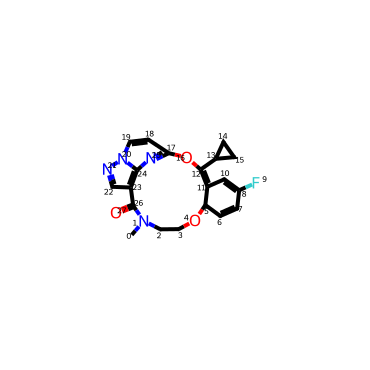 CN1CCOC2C=CC(F)=C/C2=C(\C2CC2)Oc2ccn3ncc(c3n2)C1=O